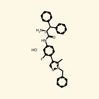 Cc1c(-c2ccc(NC(=O)[C@@H](N)C(c3ccccc3)c3ccccc3)cc2F)cnn1Cc1ccccc1.Cl